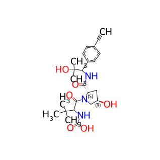 C#Cc1ccc(C(NC(=O)[C@@H]2C[C@@H](O)CN2C(=O)C(NC(=O)O)C(C)(C)C)C(C)(C)O)cc1